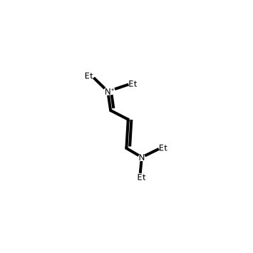 CCN(C=CC=[N+](CC)CC)CC